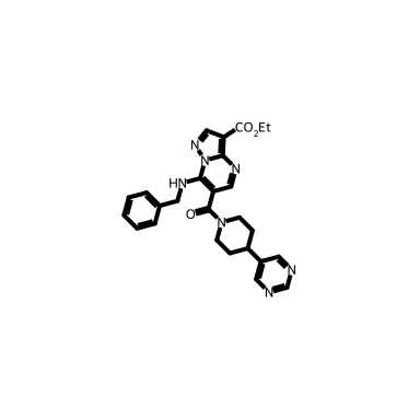 CCOC(=O)c1cnn2c(NCc3ccccc3)c(C(=O)N3CCC(c4cncnc4)CC3)cnc12